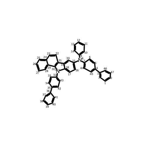 c1ccc(-c2ccc(N(c3ccccc3)c3ccc4c(c3)c3ccc5ccccc5c3n4-c3ccc(-c4ccccc4)cc3)cc2)cc1